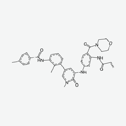 C=CC(=O)Nc1cc(Nc2cc(-c3cccc(NC(=O)c4ccc(C)cc4)c3C)cn(C)c2=O)ccc1C(=O)N1CCOCC1